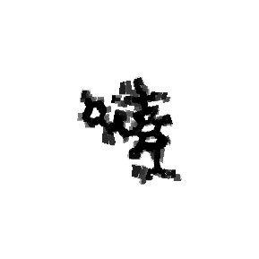 CC(C)N1Cc2c(n(CC(=O)Nc3ccc(F)cn3)c3cc(C(C)(C)C)nn3c2=O)C1=O